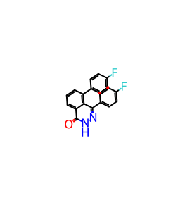 O=c1[nH]nc(-c2ccc(F)cc2)c2c(-c3ccc(F)cc3)cccc12